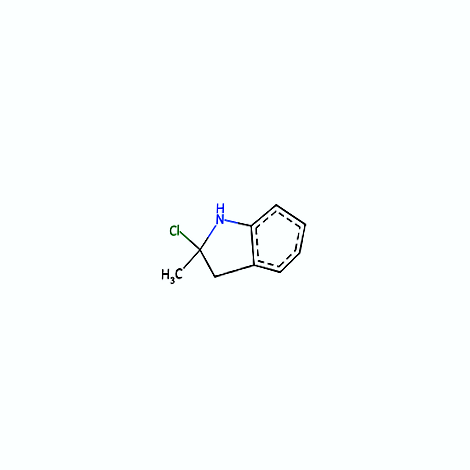 CC1(Cl)Cc2ccccc2N1